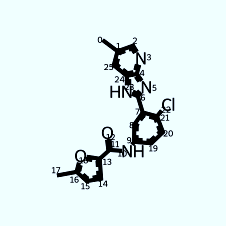 Cc1cnc2nc(-c3cc(NC(=O)c4ccc(C)o4)ccc3Cl)[nH]c2c1